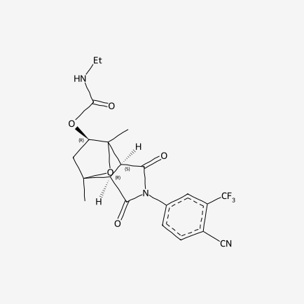 CCNC(=O)O[C@@H]1CC2(C)OC1(C)[C@H]1C(=O)N(c3ccc(C#N)c(C(F)(F)F)c3)C(=O)[C@H]12